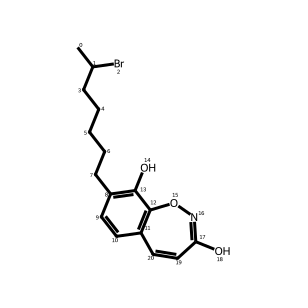 CC(Br)CCCCCc1ccc2c(c1O)ON=C(O)C=C2